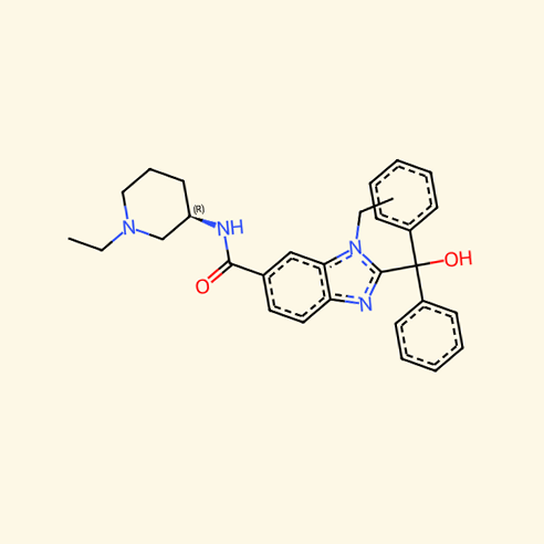 CCN1CCC[C@@H](NC(=O)c2ccc3nc(C(O)(c4ccccc4)c4ccccc4)n(CC)c3c2)C1